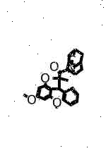 COc1cc(OC)c(C(c2ccccc2)C(C)(C)C(=O)N2CC3CC4CC(C3)CC2C4)c(OC)c1